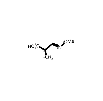 CON=CC(C)C(=O)O